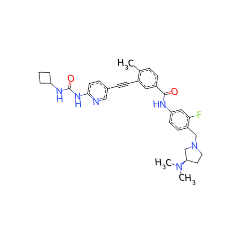 Cc1ccc(C(=O)Nc2ccc(CN3CC[C@@H](N(C)C)C3)c(F)c2)cc1C#Cc1ccc(NC(=O)NC2CCC2)nc1